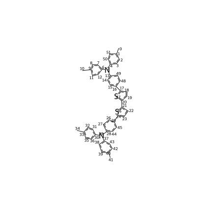 Cc1ccc(N(c2ccc(C)cc2)c2ccc(-c3ccc(-c4ccc(-c5ccc(N(c6ccc(C)cc6)c6ccc(C)cc6)cc5)s4)s3)cc2)cc1